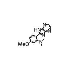 COc1ccc(-c2nc3nccnc3[nH]2)c(N(C)C)c1